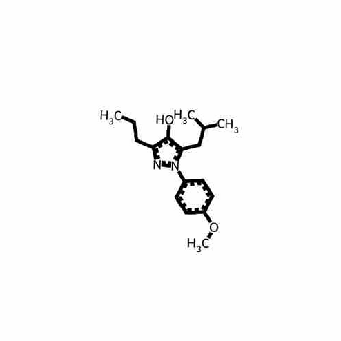 CCCc1nn(-c2ccc(OC)cc2)c(CC(C)C)c1O